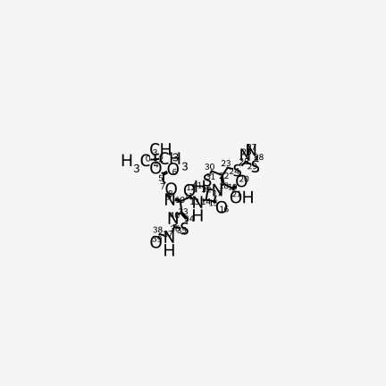 CC(C)(C)OC(=O)CO/N=C(\C(=O)NC1C(=O)N2C(C(=O)O)=C(CSc3nncs3)CS[C@H]12)c1csc(NC=O)n1